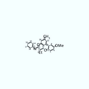 CCC(=C\Oc1ccc(OC)cc1)/C(=N/c1ccccc1)Oc1cccc(C)c1